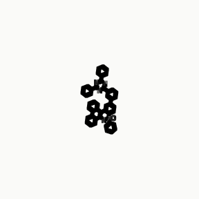 O=S1(c2ccccc2)=Nc2c(c3ccccc3c3ccccc23)-c2cc(-c3cccc(-c4nc(-c5ccccc5)nc(-c5ccccc5)n4)c3)ccc21